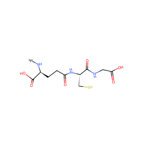 [2H]N[C@@H](CCC(=O)N[C@@H](CS)C(=O)NCC(=O)O)C(=O)O